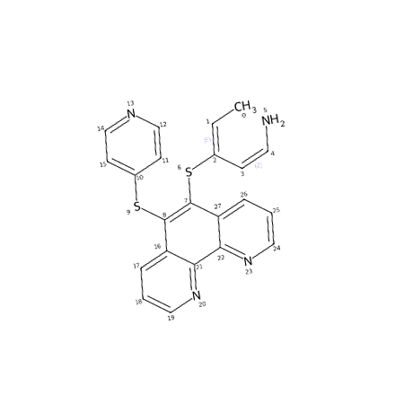 C/C=C(\C=C/N)Sc1c(Sc2ccncc2)c2cccnc2c2ncccc12